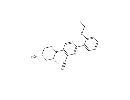 CCOc1ccccc1-c1ccc(N2CC[C@@H](O)C[C@H]2C)c(C#N)n1